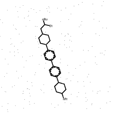 CCCCC(CC)CC1CCC(c2ccc(-c3ccc(C4CCC(CCC)CC4)cc3)cc2)CC1